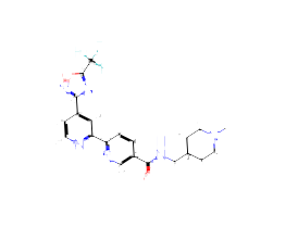 CN1CCC(CNC(=O)c2ccc(-c3cc(-c4noc(C(F)(F)F)n4)ccn3)nc2)CC1